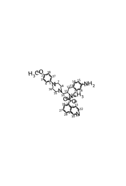 COc1ccc(N2CCN(CC(Cc3ccc(N)cc3)N(C)S(=O)(=O)c3cccc4cnccc34)CC2)cc1